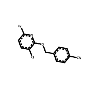 N#Cc1ccc(COc2nc(Br)ccc2Cl)cc1